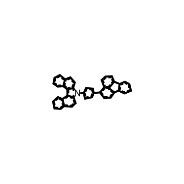 c1ccc2c(c1)-c1cccc3c(-c4ccc(-n5c6ccc7ccccc7c6c6c7ccccc7ccc65)cc4)ccc-2c13